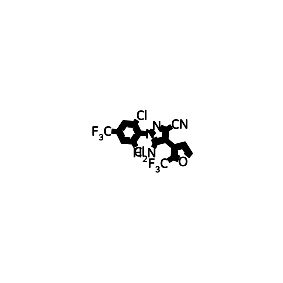 N#Cc1nn(-c2c(Cl)cc(C(F)(F)F)cc2Cl)c(N)c1-c1ccoc1C(F)(F)F